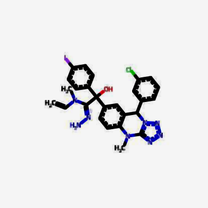 C=CN(C)/C(=N\N)C(O)(c1ccc(I)cc1)c1ccc2c(c1)C(c1cccc(Cl)c1)n1nnnc1N2C